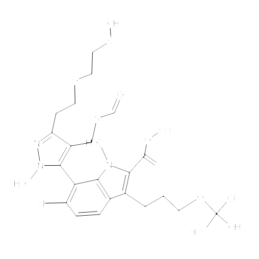 COCCOCCc1nn(C)c(-c2c(Cl)ccc3c(CCCOC(C)(C)C)c(C(=O)OC)n(C)c23)c1CSC=O